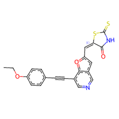 CCOc1ccc(C#Cc2cncc3cc(/C=C4/SC(=S)NC4=O)oc23)cc1